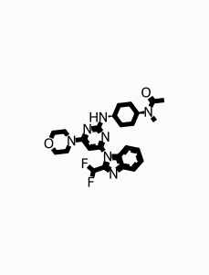 CC(=O)N(C)[C@H]1CC[C@H](Nc2nc(N3CCOCC3)cc(-n3c(C(F)F)nc4ccccc43)n2)CC1